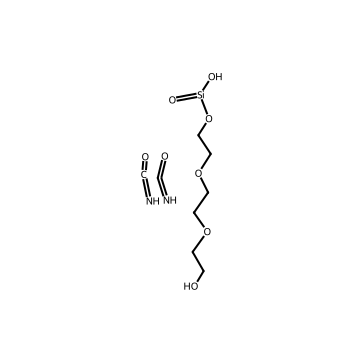 N=C=O.N=C=O.O=[Si](O)OCCOCCOCCO